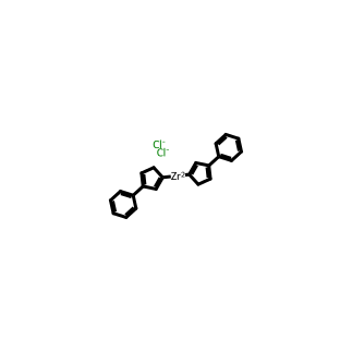 C1=[C]([Zr+2][C]2=CC(c3ccccc3)=CC2)CC=C1c1ccccc1.[Cl-].[Cl-]